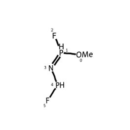 CO/[PH](F)=N\PF